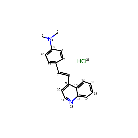 CN(C)c1ccc(C=Cc2ccnc3ccccc23)cc1.Cl